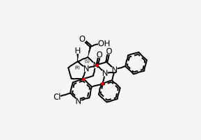 CN(Cc1ccc(Cl)nc1)C(=O)N1C2CC[C@@H]1[C@@H](C(=O)O)N(C(=O)N(c1ccccc1)c1ccccc1)C2